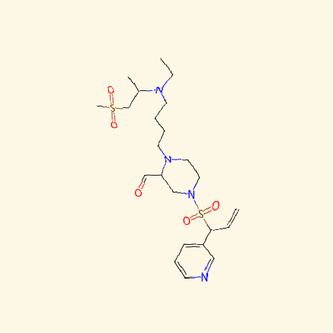 C=CC(c1cccnc1)S(=O)(=O)N1CCN(CCCCN(CC)C(C)CS(C)(=O)=O)C(C=O)C1